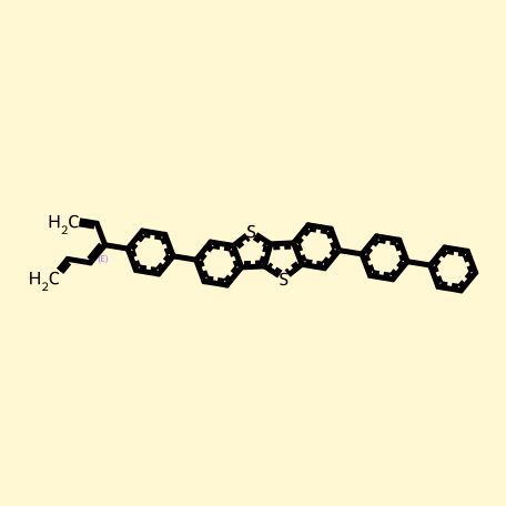 C=C/C=C(\C=C)c1ccc(-c2ccc3c(c2)sc2c4ccc(-c5ccc(-c6ccccc6)cc5)cc4sc32)cc1